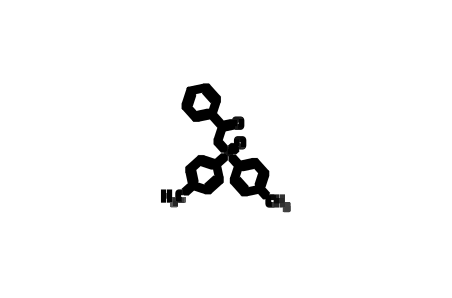 Cc1ccc(P(=O)(CC(=O)c2ccccc2)c2ccc(C)cc2)cc1